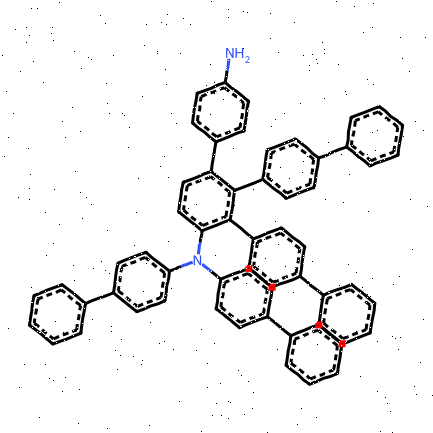 Nc1ccc(-c2ccc(N(c3ccc(-c4ccccc4)cc3)c3ccc(-c4ccccc4)cc3)c(-c3ccc(-c4ccccc4)cc3)c2-c2ccc(-c3ccccc3)cc2)cc1